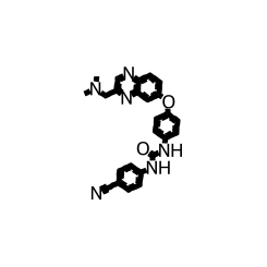 CN(C)Cc1cnc2ccc(Oc3ccc(NC(=O)Nc4ccc(C#N)cc4)cc3)cc2n1